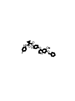 COc1cc2c(Oc3ccc(NC(=O)C4(C(=O)Nc5ccc(F)cc5)CC4)cc3)ccnc2cc1OCc1ccccc1